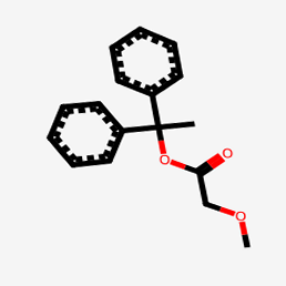 COCC(=O)OC(C)(c1ccccc1)c1ccccc1